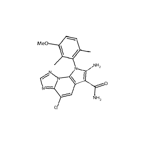 COc1ccc(C)c(-n2c(N)c(C(N)=O)c3cc(Cl)c4ncnn4c32)c1C